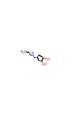 C=CCNCc1ccc(O)c(O)c1